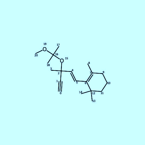 C#CC(C)(C=CC1=C(C)CCCC1(C)C)OC(C)(C)OC